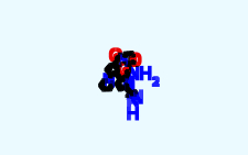 NC(=O)c1nc(-c2cn[nH]c2)ccc1-c1cc(C(=O)N2CCOCC2)ccc1N1CCCCC1